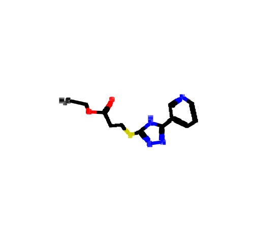 CCOC(=O)CCSc1nnc(-c2cccnc2)[nH]1